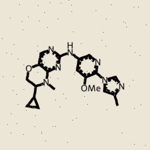 COc1cc(Nc2ncc3c(n2)N(C)C(C2CC2)CO3)cnc1-n1cnc(C)c1